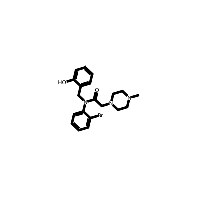 CN1CCN(CC(=O)N(Cc2ccccc2O)c2ccccc2Br)CC1